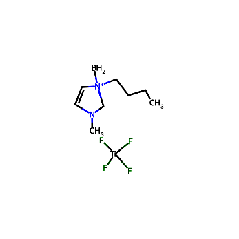 B[N+]1(CCCC)C=CN(C)C1.[F][Ti]([F])([F])[F]